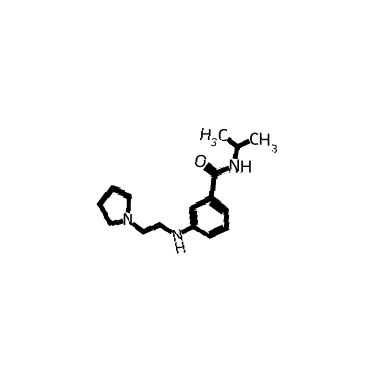 CC(C)NC(=O)c1cccc(NCCN2CCCC2)c1